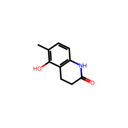 Cc1ccc2c(c1O)CCC(=O)N2